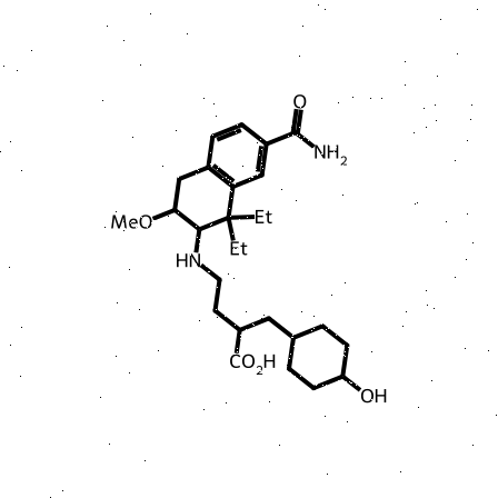 CCC1(CC)c2cc(C(N)=O)ccc2CC(OC)C1NCCC(CC1CCC(O)CC1)C(=O)O